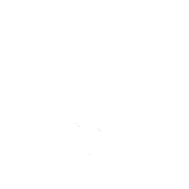 CCCCCc1cnc(-c2ccc(-c3ccc(F)cc3)c(F)c2)nc1